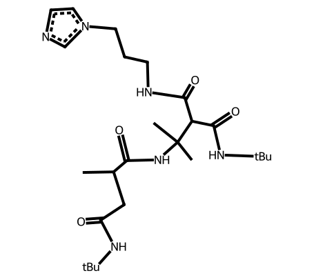 CC(CC(=O)NC(C)(C)C)C(=O)NC(C)(C)C(C(=O)NCCCn1ccnc1)C(=O)NC(C)(C)C